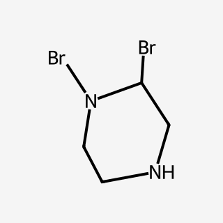 BrC1CNCCN1Br